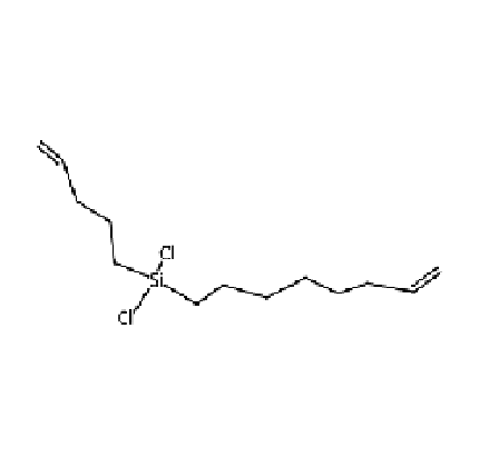 C=CCCCCCC[Si](Cl)(Cl)CCCC=C